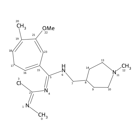 C/N=C(Cl)\N=C(\NCC1CCN(C)CC1)C1=CCC=C(C)C(OC)=C1